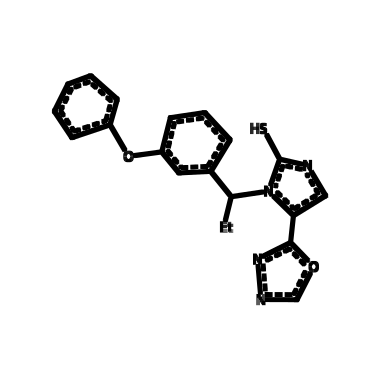 CCC(c1cccc(Oc2ccccc2)c1)n1c(-c2nnco2)cnc1S